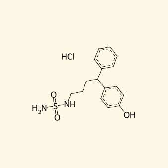 Cl.NS(=O)(=O)NCCCC(c1ccccc1)c1ccc(O)cc1